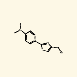 CN(C)c1ccc(-c2nc(CBr)cs2)cc1